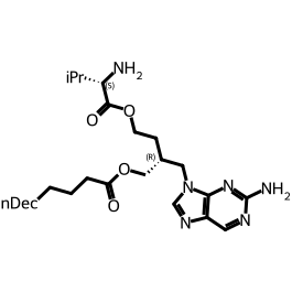 CCCCCCCCCCCCCC(=O)OC[C@H](CCOC(=O)[C@@H](N)C(C)C)Cn1cnc2cnc(N)nc21